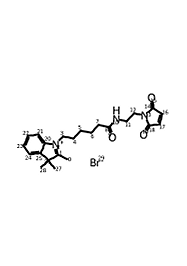 CC1=[N+](CCCCCC(=O)NCCN2C(=O)C=CC2=O)c2ccccc2C1(C)C.[Br-]